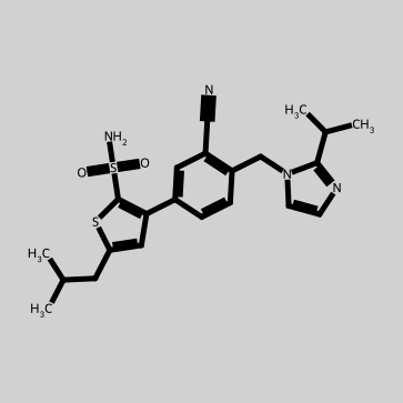 CC(C)Cc1cc(-c2ccc(Cn3ccnc3C(C)C)c(C#N)c2)c(S(N)(=O)=O)s1